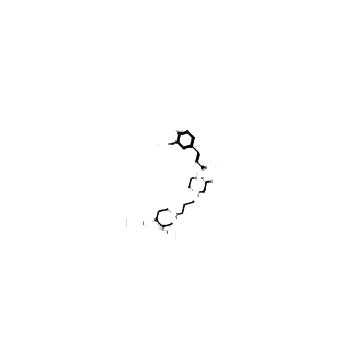 CC1C(=O)N(CCCN2CC[C@H](C)[C@H](O)C2)CCN1C(=O)C=Cc1ccc(F)c(Cl)c1